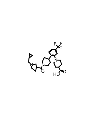 O=C(O)C1CCN(c2cc(C(F)(F)F)ccc2C2CCN(C(=O)C3CCN(CC4CC4)C3)CC2)CC1